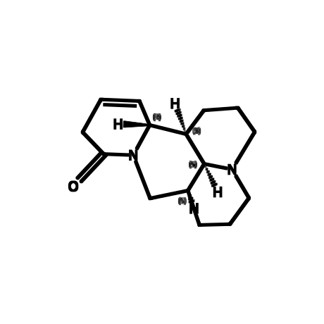 O=C1CC=C[C@@H]2[C@H]3CCCN4CCC[C@@H](CN12)[C@@H]34